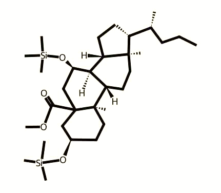 CCC[C@@H](C)[C@H]1CC[C@H]2[C@@H]3[C@H](O[Si](C)(C)C)CC4(C(=O)OC)C[C@H](O[Si](C)(C)C)CC[C@]4(C)[C@H]3CC[C@]12C